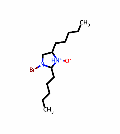 CCCCCC1CN(Br)C(CCCCC)[NH+]1[O-]